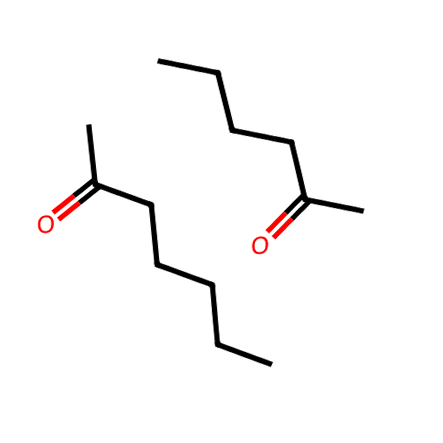 CCCCC(C)=O.CCCCCC(C)=O